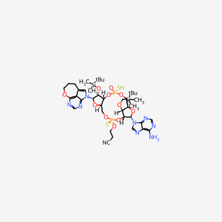 CC(C)(C)[Si](C)(C)CO[C@H]1[C@H]2OP(=S)(OCCC#N)OC[C@H]3O[C@@H](n4cc5c6c(ncnc64)OCCC5)[C@H](O[Si](C)(C)C(C)(C)C)[C@@H]3OP(=O)(S)OC[C@H]1O[C@H]2n1cnc2c(N)ncnc21